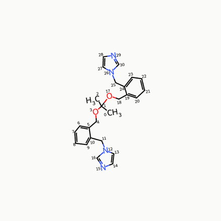 CC(C)(OCc1ccccc1Cn1ccnc1)OCc1ccccc1Cn1ccnc1